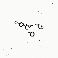 Clc1ccc(C(CCCc2ccccc2)=NOCCCN2CCOCC2)cc1